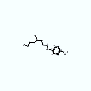 CCCCC(C)CCCOc1ccc(O)cc1